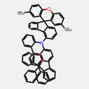 CC(C)(C)c1ccc2c(c1)C1(c3cc(C(C)(C)C)ccc3O2)c2ccccc2-c2c(N(c3ccc4c(c3)C(c3ccccc3)(c3ccccc3)c3ccccc3-4)c3ccccc3-c3ccc(-c4ccccc4)cc3)cccc21